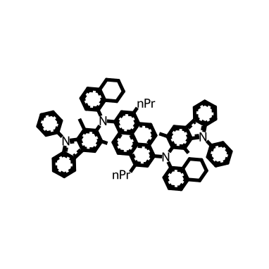 CCCc1cc(N(c2cccc3c2CCCC3)c2c(C)cc3c4ccccc4n(-c4ccccc4)c3c2C)c2ccc3c(CCC)cc(N(c4cccc5c4CCCC5)c4c(C)cc5c6ccccc6n(-c6ccccc6)c5c4C)c4ccc1c2c34